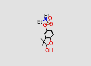 CCN(CC)S(=O)(=O)Oc1ccc2c(c1)C(C)(C)C(O)O2